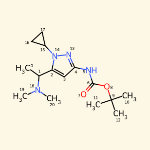 CC(c1cc(NC(=O)OC(C)(C)C)nn1C1CC1)N(C)C